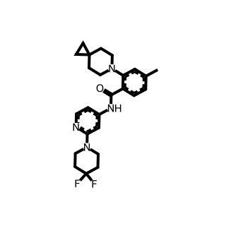 Cc1ccc(C(=O)Nc2ccnc(N3CCC(F)(F)CC3)c2)c(N2CCC3(CC2)CC3)c1